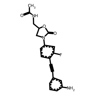 CC(=O)NCC1CN(c2ccc(C#Cc3cccc(N)c3)c(F)c2)C(=O)O1